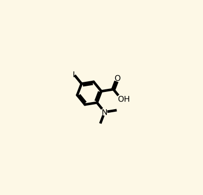 CN(C)c1ccc(I)cc1C(=O)O